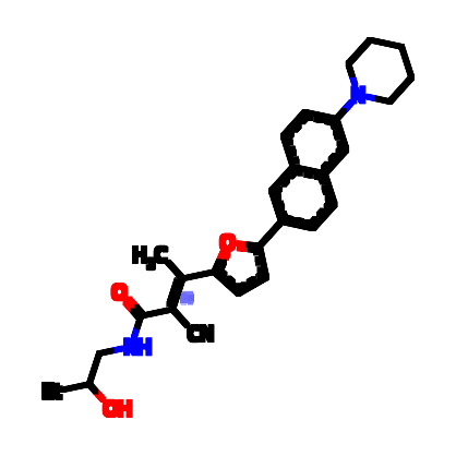 CCC(O)CNC(=O)/C(C#N)=C(\C)c1ccc(-c2ccc3cc(N4CCCCC4)ccc3c2)o1